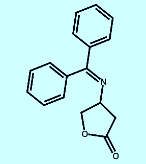 O=C1CC(N=C(c2ccccc2)c2ccccc2)CO1